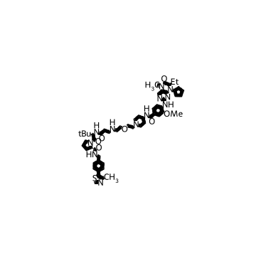 CC[C@@H]1C(=O)N(C)c2cnc(Nc3ccc(C(=O)NC4CCN(CCOCCNCCC(=O)N[C@H](C(=O)N5CCC[C@H]5C(=O)NCc5ccc(-c6scnc6C)cc5)C(C)(C)C)CC4)cc3OC)nc2N1C1CCCC1